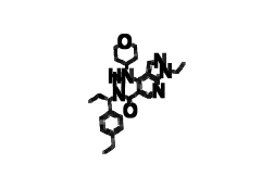 CCc1ccc([C@@H](CC)NC(=O)c2cnc3c(cnn3CC)c2NC2CCOCC2)cc1